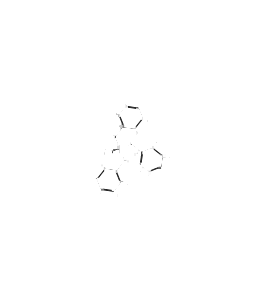 CC[O][Hf]([CH2]c1ccccc1)([CH2]c1ccccc1)[CH2]c1ccccc1